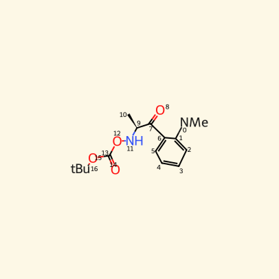 CNc1ccccc1C(=O)[C@H](C)NOC(=O)OC(C)(C)C